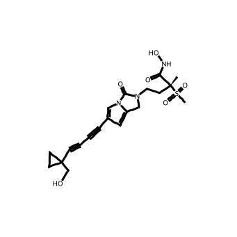 C[C@@](CCN1Cc2cc(C#CC#CC3(CO)CC3)cn2C1=O)(C(=O)NO)S(C)(=O)=O